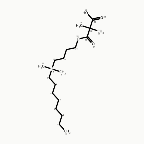 CCCCCCCC[Si](C)(C)CCCCOC(=O)C(C)(C)C(=O)O